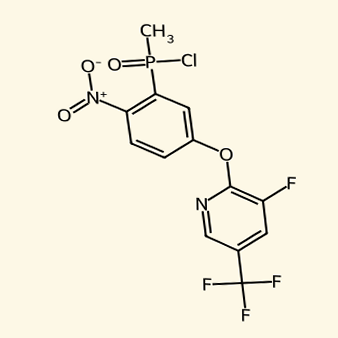 CP(=O)(Cl)c1cc(Oc2ncc(C(F)(F)F)cc2F)ccc1[N+](=O)[O-]